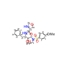 COc1ccc(S(=O)(=O)N(CC(C)C)CC(O)C(Cc2ccccc2)NC(=O)[C@@H]2COCN2)cc1